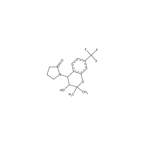 CC1(C)Oc2cc(C(F)(F)F)ccc2C(N2CCCC2=O)C1O